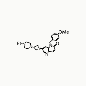 CCN1CCN(C2CN(c3cnc4ccc(=O)n(Cc5ccc(OC)cc5)c4c3)C2)CC1